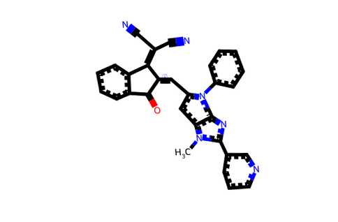 Cn1c(-c2cccnc2)nc2c1cc(/C=C1\C(=O)c3ccccc3C1=C(C#N)C#N)n2-c1ccccc1